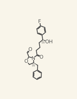 O=CC1OC[C@H](Cc2ccccc2)N1C(=O)CCC[C@H](O)c1ccc(F)cc1